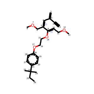 C#CC(=C)/C=C(COC)\C(=C\COC)OCCOc1ccc(C(C)(C)CC)cc1